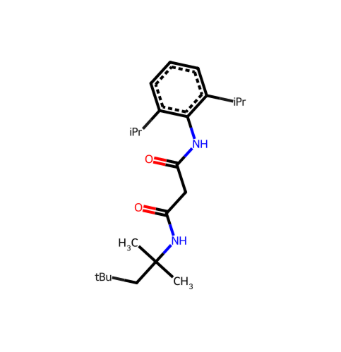 CC(C)c1cccc(C(C)C)c1NC(=O)CC(=O)NC(C)(C)CC(C)(C)C